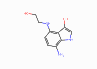 Nc1ccc(NCCO)c2c(O)c[nH]c12